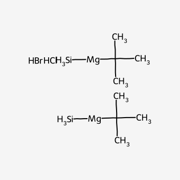 Br.C[C](C)(C)[Mg][SiH3].C[C](C)(C)[Mg][SiH3].Cl